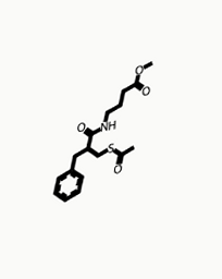 COC(=O)CCCNC(=O)C(CSC(C)=O)Cc1ccccc1